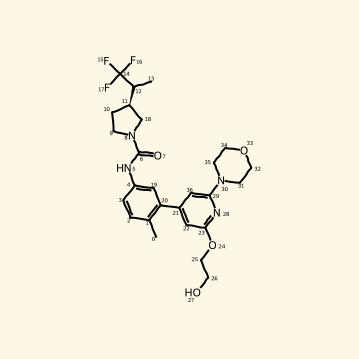 Cc1ccc(NC(=O)N2CC[C@@H](C(C)C(F)(F)F)C2)cc1-c1cc(OCCO)nc(N2CCOCC2)c1